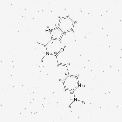 CC(c1cc2ccccc2[nH]1)N(C)C(=O)/C=C/c1ccc(N(C)C)nc1